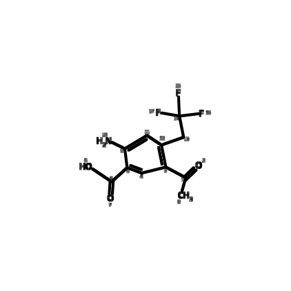 CC(=O)c1cc(C(=O)O)c(N)cc1CC(F)(F)F